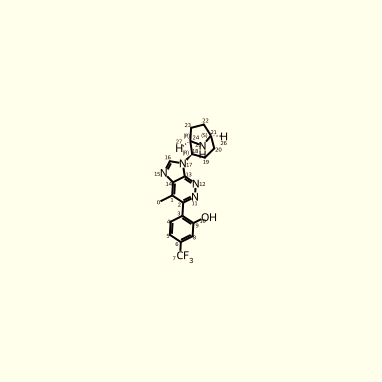 Cc1c(-c2ccc(C(F)(F)F)cc2O)nnc2c1ncn2[C@@H]1CC[C@@H]2CC[C@H]1N2